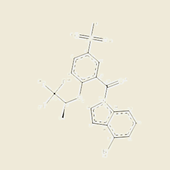 C[C@H](Oc1ccc(S(C)(=O)=O)cc1C(=O)n1ccc2c(Br)cccc21)C(F)(F)F